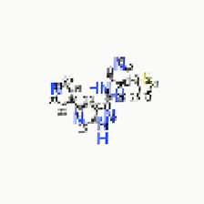 c1csc(-c2cncc3[nH]c(-c4n[nH]c5cnc(-c6ccncc6)cc45)nc23)c1